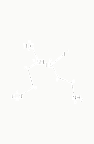 C[SH](CCN)[SH](I)CCN